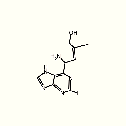 CC(=CC(N)c1nc(I)nc2nc[nH]c12)CO